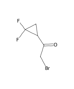 O=C(CBr)C1CC1(F)F